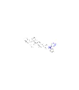 c1ccc2cc(-c3c4ccccc4c(-c4ccc5cc(-c6ccc(-n7c8ccccc8c8cnccc87)cc6)ccc5c4)c4ccccc34)ccc2c1